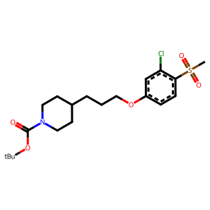 CC(C)(C)OC(=O)N1CCC(CCCOc2ccc(S(C)(=O)=O)c(Cl)c2)CC1